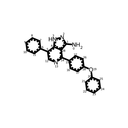 Nc1n[nH]c2c(-c3ccccc3)cnc(-c3ccc(Oc4ccccc4)cc3)c12